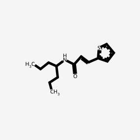 CCCC(CCC)NC(=O)C=Cc1cccs1